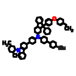 C=CC1=CCC(OC2C=CC(C3(C4CCCCC4)C4C=CCCC4C4CCC(N(C5=CCC(C6CCC7=C(C6)C6CCCCC6N7C6CC(C)CCC6C)CC5)C5CCC(C6=CCC(C(C)(C)C)CC6)CC5)CC43)=CC2)CC1